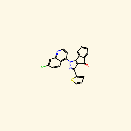 O=C1c2ccccc2-c2c1c(-c1cccs1)nn2-c1ccnc2cc(Cl)ccc12